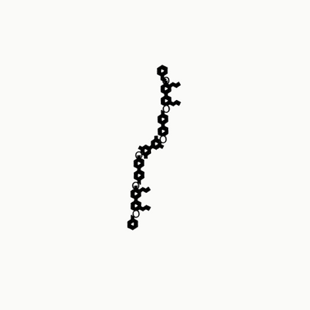 C=CCc1cc(-c2ccc(OCc3ccc(-c4ccc(Oc5c(C)cc(-c6cc(C)c(Oc7ccc(-c8ccc(COc9ccc(-c%10ccc(OCc%11ccccc%11)c(CC=C)c%10)cc9CC=C)cc8)cc7)c(C)c6)cc5C)cc4)cc3)c(CC=C)c2)ccc1OCc1ccccc1